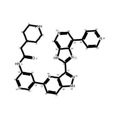 O=C(CC1CCNCC1)Nc1cncc(-c2ccc3[nH]nc(-c4nc5c(-c6ccncc6)cncc5[nH]4)c3n2)c1